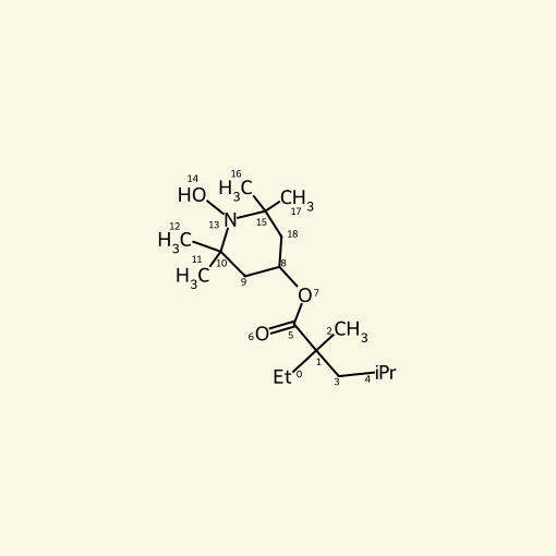 CCC(C)(CC(C)C)C(=O)OC1CC(C)(C)N(O)C(C)(C)C1